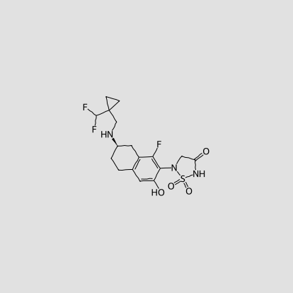 O=C1CN(c2c(O)cc3c(c2F)C[C@H](NCC2(C(F)F)CC2)CC3)S(=O)(=O)N1